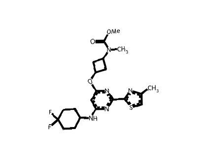 COC(=O)N(C)C1CC(Oc2cc(NC3CCC(F)(F)CC3)nc(-c3nc(C)cs3)n2)C1